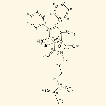 CC12C(=O)C(C)(C(c3ccccc3)=C1c1ccccc1)C1(Br)C(=O)N(CCCC[C@H](N)C(N)=O)C(=O)C21